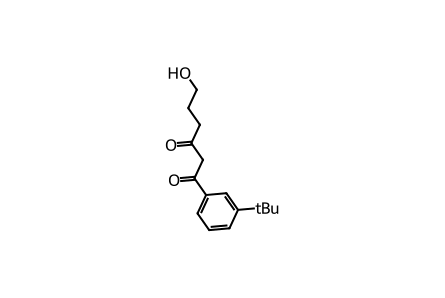 CC(C)(C)c1cccc(C(=O)CC(=O)CCCO)c1